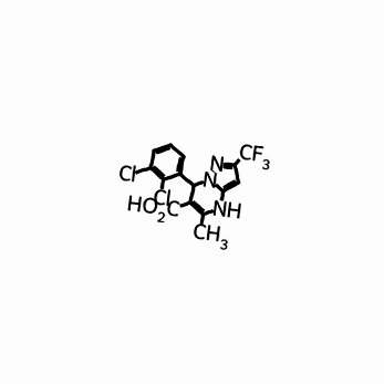 CC1=C(C(=O)O)C(c2cccc(Cl)c2Cl)n2nc(C(F)(F)F)cc2N1